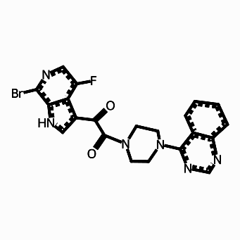 O=C(C(=O)N1CCN(c2ncnc3ccccc23)CC1)c1c[nH]c2c(Br)ncc(F)c12